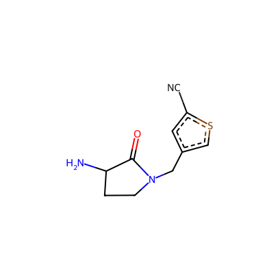 N#Cc1cc(CN2CCC(N)C2=O)cs1